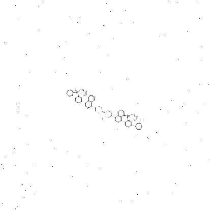 CC1(C)c2ccccc2-c2ccc3c(c21)C(C)(C)c1cccc2c(C4=CC5OC(=O)C6C=C(c7ccc8c9c(cccc79)C(C)(C)c7c-8ccc8c7C(C)(C)c7ccccc7-8)C=CC6=C5C=C4)ccc-3c12